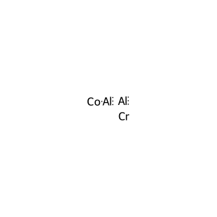 [Al].[Al].[Co].[Cr]